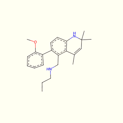 CCCNCc1c(-c2ccccc2OC)ccc2c1C(C)=CC(C)(C)N2